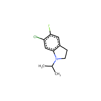 CC(C)N1CCc2cc(F)c(Cl)cc21